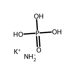 O=P(O)(O)O.[K+].[NH2-]